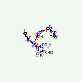 C#C[C@H]1CC(F)(F)CN1C(=O)CNC(=O)c1ccnc2ccc(OCCCN3CCN(C(=O)[C@H](O)CSCCNC(=O)[C@H](CCCCNC(=O)CCCc4ccc(I)cc4)NC(=O)CN4CCN(COC=O)CCN(COC=O)CCN(CC(=O)O)CC4)CC3)cc12